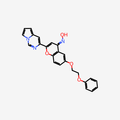 O/N=c1\cc(-c2cc3cccn3cn2)oc2ccc(OCCOc3ccccc3)cc12